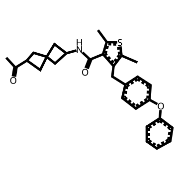 CC(=O)C1CC2(CC(NC(=O)c3c(C)sc(C)c3Cc3ccc(Oc4ccccc4)cc3)C2)C1